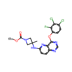 CC1(Nc2ccc3ncnc(Oc4ccc(Cl)c(Cl)c4F)c3n2)CN(C(=O)OC(C)(C)C)C1